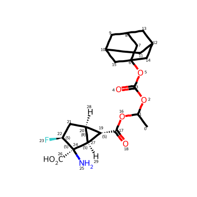 CC(OC(=O)OC12CC3CC(CC(C3)C1)C2)OC(=O)[C@H]1[C@@H]2C[C@H](F)[C@@](N)(C(=O)O)[C@@H]21